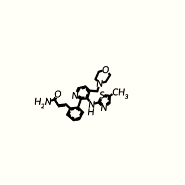 Cc1cnc(Nc2c(CN3CCOCC3)ccnc2-c2ccccc2C=CC(N)=O)s1